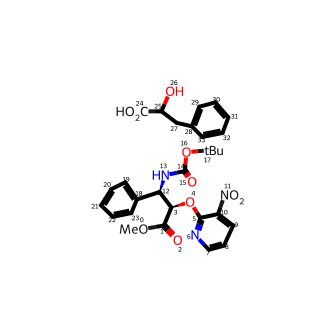 COC(=O)[C@H](Oc1ncccc1[N+](=O)[O-])[C@H](NC(=O)OC(C)(C)C)c1ccccc1.O=C(O)C(O)Cc1ccccc1